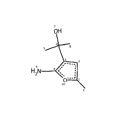 Cc1cc(C(C)(C)O)c(N)o1